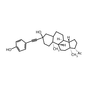 CC(=O)[C@H]1CC[C@H]2[C@@H]3CCC4CC(O)(C#Cc5ccc(O)cc5)CC[C@]4(C)[C@H]3CC[C@]12C